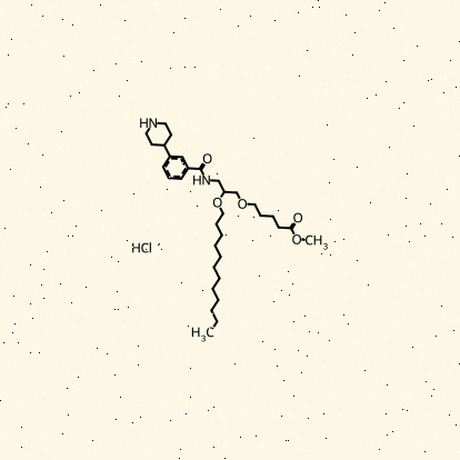 CCCCCCCCCCCCOC(CNC(=O)c1cccc(C2CCNCC2)c1)COCCCCC(=O)OC.Cl